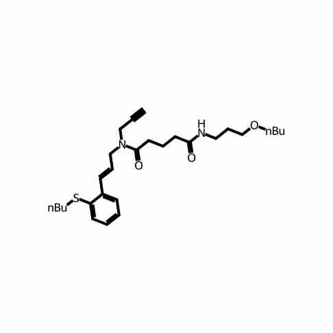 C#CCN(C/C=C/c1ccccc1SCCCC)C(=O)CCCC(=O)NCCCOCCCC